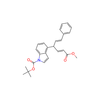 COC(=O)C=CC(C=Cc1ccccc1)c1cccc2c1ccn2C(=O)OC(C)(C)C